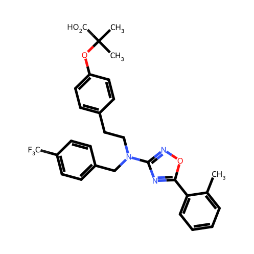 Cc1ccccc1-c1nc(N(CCc2ccc(OC(C)(C)C(=O)O)cc2)Cc2ccc(C(F)(F)F)cc2)no1